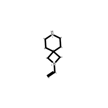 C=CN1CC2(CCNCC2)C1